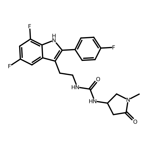 CN1CC(NC(=O)NCCc2c(-c3ccc(F)cc3)[nH]c3c(F)cc(F)cc23)CC1=O